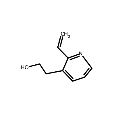 C=Cc1ncccc1CCO